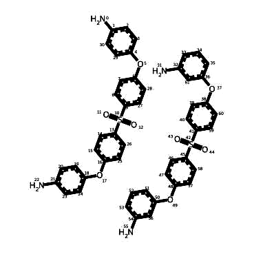 Nc1ccc(Oc2ccc(S(=O)(=O)c3ccc(Oc4ccc(N)cc4)cc3)cc2)cc1.Nc1cccc(Oc2ccc(S(=O)(=O)c3ccc(Oc4cccc(N)c4)cc3)cc2)c1